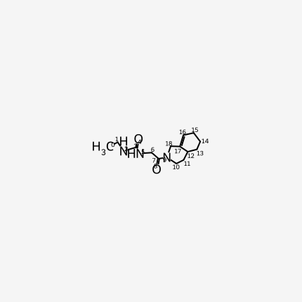 CCNC(=O)NCC(=O)N1CCC2CCCC=C2C1